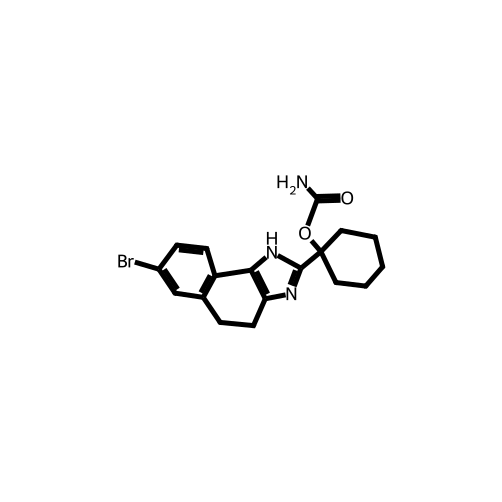 NC(=O)OC1(c2nc3c([nH]2)-c2ccc(Br)cc2CC3)CCCCC1